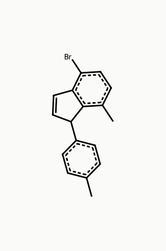 Cc1ccc(C2C=Cc3c(Br)ccc(C)c32)cc1